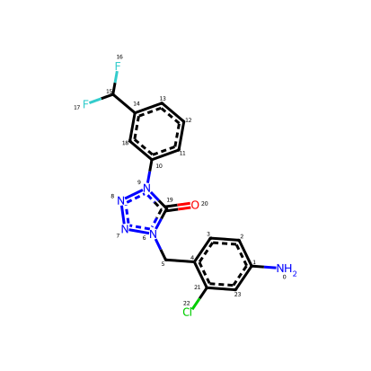 Nc1ccc(Cn2nnn(-c3cccc(C(F)F)c3)c2=O)c(Cl)c1